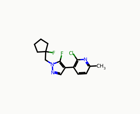 Cc1ccc(-c2cnn(CC3(F)CCCC3)c2F)c(Cl)n1